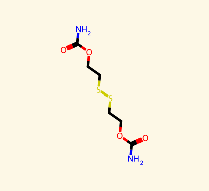 NC(=O)OCCSSCCOC(N)=O